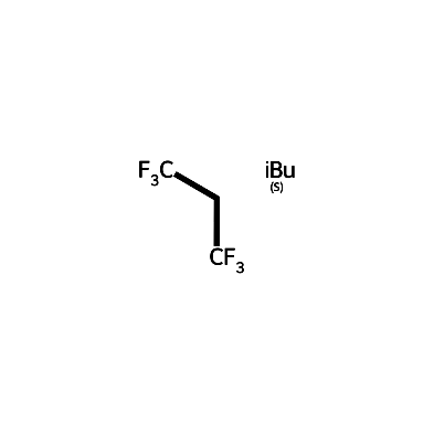 CC[C@H](C)C(C(F)(F)F)C(F)(F)F